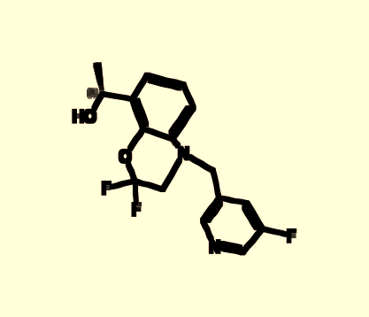 C[C@H](O)c1cccc2c1OC(F)(F)CN2Cc1cncc(F)c1